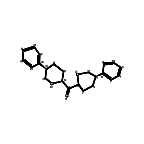 O=C(C1CC[C@H](c2ccccc2)CO1)C1CC[C@H](c2ccccc2)CO1